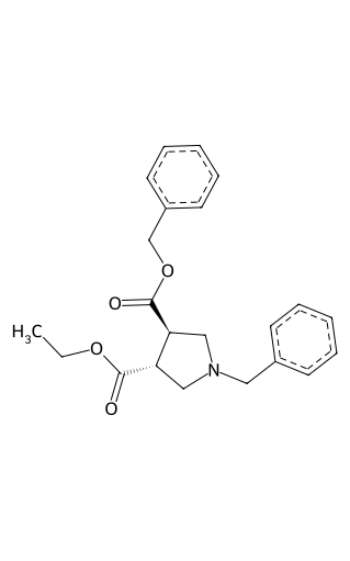 CCOC(=O)[C@H]1CN(Cc2ccccc2)C[C@@H]1C(=O)OCc1ccccc1